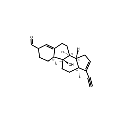 C#CC1=CC[C@H]2[C@@H]3CCC4=CC(C=O)CC[C@]4(C)[C@@]3(O)CC[C@]12C